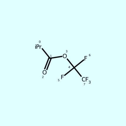 CC(C)C(=O)OC(F)(F)C(F)(F)F